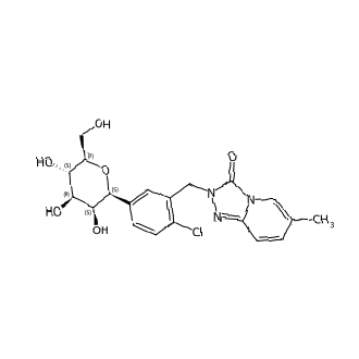 Cc1ccc2nn(Cc3cc([C@@H]4O[C@H](CO)[C@@H](O)[C@H](O)[C@@H]4O)ccc3Cl)c(=O)n2c1